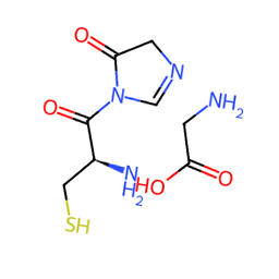 NCC(=O)O.N[C@@H](CS)C(=O)N1C=NCC1=O